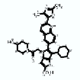 Cc1nc(C)c(-c2ccc3cc(-c4c(C5CCCCC5)c5sc(C(=O)O)cc5n4CC(=O)N4CCC(O)CC4)ccc3n2)o1